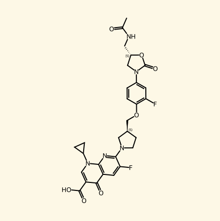 CC(=O)NC[C@H]1CN(c2ccc(OC[C@H]3CCN(c4nc5c(cc4F)c(=O)c(C(=O)O)cn5C4CC4)C3)c(F)c2)C(=O)O1